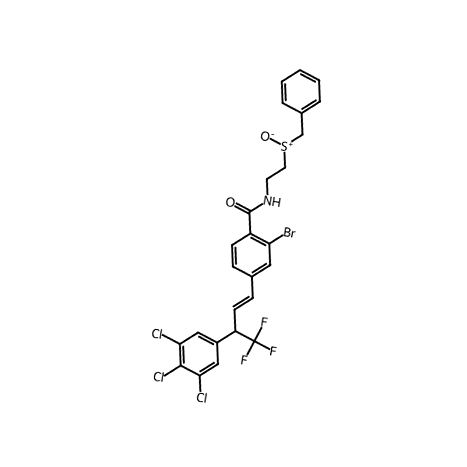 O=C(NCC[S+]([O-])Cc1ccccc1)c1ccc(/C=C/C(c2cc(Cl)c(Cl)c(Cl)c2)C(F)(F)F)cc1Br